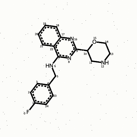 Fc1ccc(CNc2nc(C3CNCCO3)nc3ccccc23)cc1